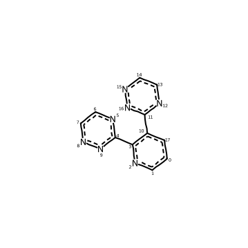 c1cnc(-c2nccnn2)c(-c2nccnn2)c1